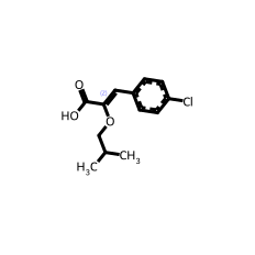 CC(C)CO/C(=C\c1ccc(Cl)cc1)C(=O)O